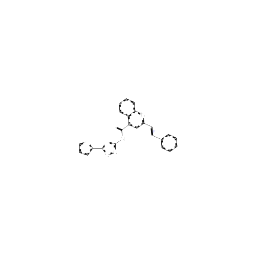 O=C(Nc1nnc(-c2ccco2)o1)c1cc(/C=C/c2ccccc2)nc2ccccc12